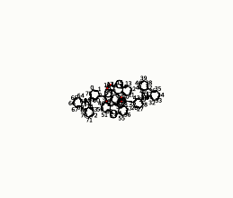 c1cc(-c2cc3c(o2)C2(c4ccccc4Oc4ccccc42)c2cc(-c4cccc(-n5c6ccccc6c6ccccc65)c4)oc2C32c3ccccc3Oc3ccccc32)cc(-n2c3ccccc3c3ccccc32)c1